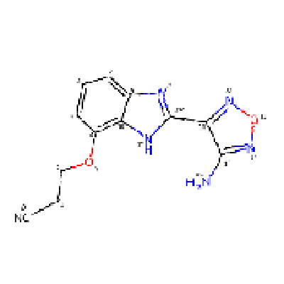 N#CCCOc1cccc2nc(-c3nonc3N)[nH]c12